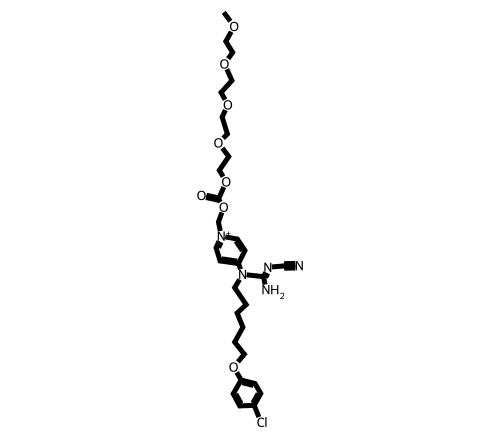 COCCOCCOCCOCCOC(=O)OC[n+]1ccc(N(CCCCCCOc2ccc(Cl)cc2)C(N)=NC#N)cc1